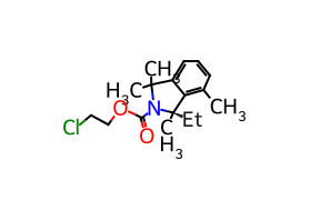 CC[C@]1(C)c2c(C)cccc2C(C)(C)N1C(=O)OCCCl